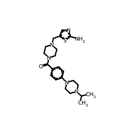 CC(C)N1CCN(c2ccc(C(=O)N3CCN(Cc4cnc(N)s4)CC3)cc2)CC1